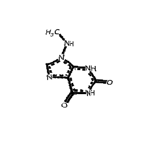 CNn1cnc2c(=O)[nH]c(=O)[nH]c21